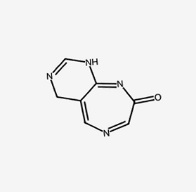 O=c1cncc2c(n1)NC=NC2